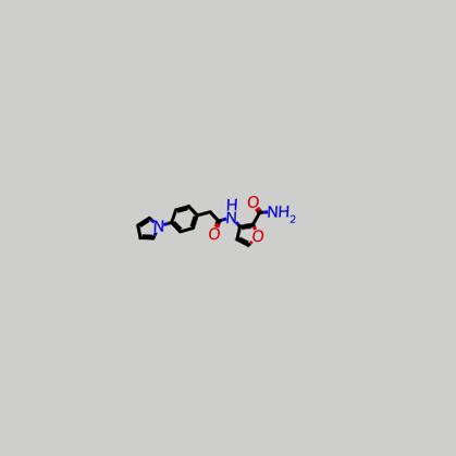 NC(=O)c1occc1NC(=O)Cc1ccc(-n2cccc2)cc1